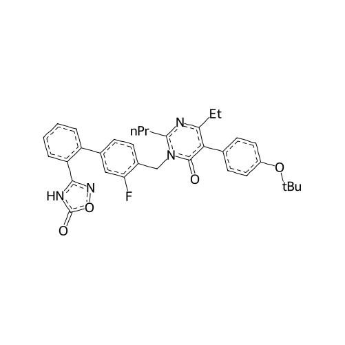 CCCc1nc(CC)c(-c2ccc(OC(C)(C)C)cc2)c(=O)n1Cc1ccc(-c2ccccc2-c2noc(=O)[nH]2)cc1F